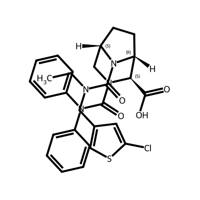 CCN(Cc1csc(Cl)c1)C(=O)N1[C@H]2CC[C@@H]1[C@@H](C(=O)O)N(C(=O)N(c1ccccc1)c1ccccc1)C2